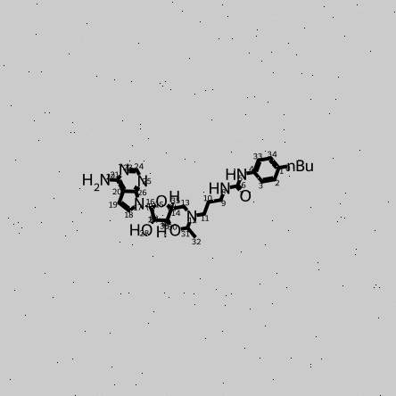 CCCCc1ccc(NC(=O)NCCCN2C[C@H]3O[C@@H](n4ccc5c(N)ncnc54)[C@H](O)[C@@H]3OC2C)cc1